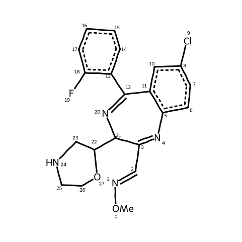 CON=CC1=Nc2ccc(Cl)cc2C(c2ccccc2F)=NC1C1CNCCO1